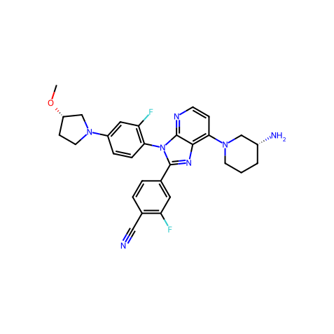 CO[C@H]1CCN(c2ccc(-n3c(-c4ccc(C#N)c(F)c4)nc4c(N5CCC[C@@H](N)C5)ccnc43)c(F)c2)C1